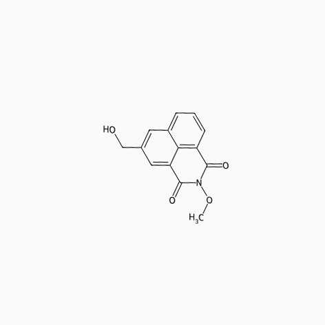 CON1C(=O)c2cccc3cc(CO)cc(c23)C1=O